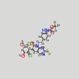 COc1cc(OC)c(Cl)c(-c2cc3cnc(SC)nc3n(CCc3ccc(NC(=O)OC(C)(C)C)cc3)c2=O)c1Cl